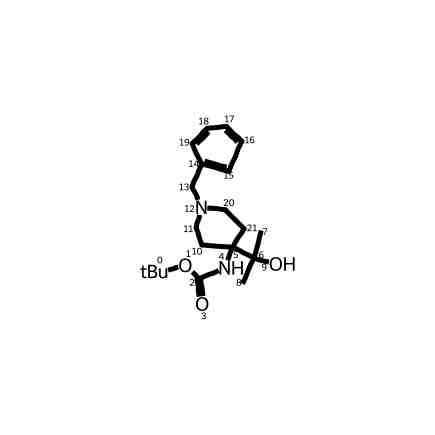 CC(C)(C)OC(=O)NC1(C(C)(C)O)CCN(Cc2ccccc2)CC1